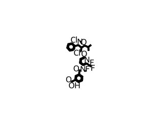 CC(C)C1ON=C(c2c(Cl)cccc2Cl)C1COc1ccc(N(C)C(=O)c2cccc(C(=O)O)c2)c(C(F)(F)F)n1